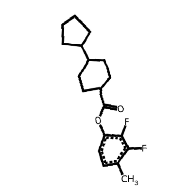 Cc1ccc(OC(=O)C2CCC(C3CCCC3)CC2)c(F)c1F